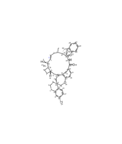 CC1C/C=C/[C@H](O)[C@@H]2CC[C@H]2CN2C[C@@]3(CCCc4cc(Cl)ccc43)COc3ccc(cc32)C(=O)NS(=O)(=O)[C@H]1Cc1ccccc1